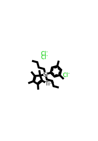 CCCC[Si](CCCC)(c1cc(C)cc(C)c1)C1(C)C(C)=C(C)C(C)=[C]1[Ti+3].[Cl-].[Cl-].[Cl-]